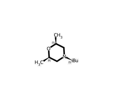 CC[C@H](C)N1C[C@@H](C)O[C@@H](C)C1